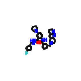 O=C(Nc1ccc(N2CCCCC2)cc1C(=O)N/N=C/c1ccc(F)cc1)c1cccc(CN2CCc3nc4ncccc4cc3C2)c1